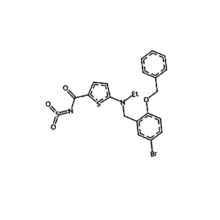 CCN(Cc1cc(Br)ccc1OCc1ccccc1)c1ccc(C(=O)N=S(=O)=O)s1